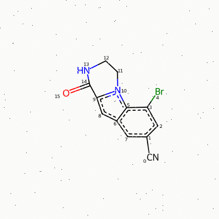 N#Cc1cc(Br)c2c(c1)cc1n2CCNC1=O